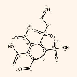 C=COS(=O)(=O)c1c(S(=O)(=O)O)cc(C=O)c(C(=O)O)c1[N+](=O)[O-]